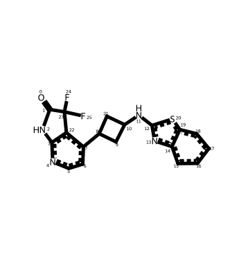 O=C1Nc2nccc(C3CC(Nc4nc5ccccc5s4)C3)c2C1(F)F